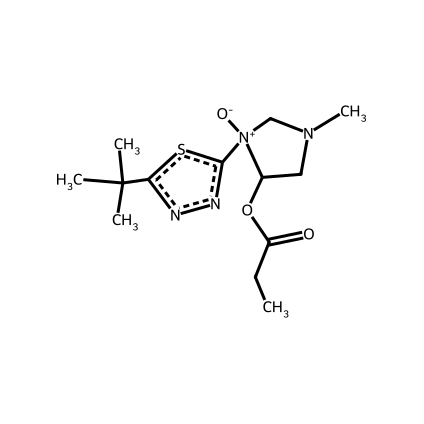 CCC(=O)OC1CN(C)C[N+]1([O-])c1nnc(C(C)(C)C)s1